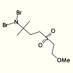 COCCS(=O)(=O)CCC(C)(C)N(Br)Br